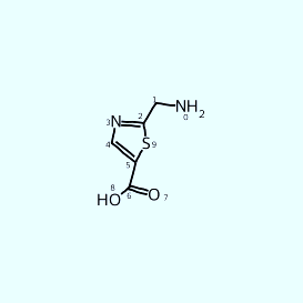 NCc1ncc(C(=O)O)s1